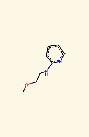 COCCNc1ccc[c]n1